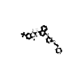 COc1ccc(C(C)(C)C)cc1NC(=O)Nc1ccc(Oc2ccnc(OCCN3CCOCC3)n2)c2ccccc12